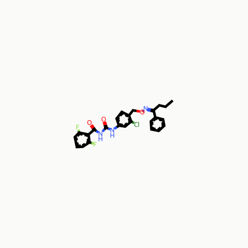 CCCC(=NOCc1ccc(NC(=O)NC(=O)c2c(F)cccc2F)cc1Cl)c1ccccc1